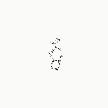 O=C(NO)C1CC1c1ccccc1F